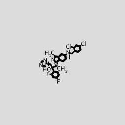 Cc1nn([C@H](C)[C@](O)(Cn2cncn2)c2ccc(F)cc2F)c2ccc(NCc3ccc(Cl)cc3Cl)cc12